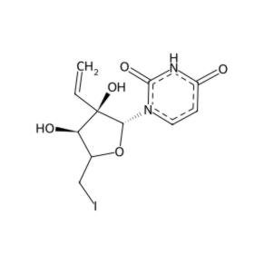 C=C[C@@]1(O)[C@H](O)C(CI)O[C@H]1n1ccc(=O)[nH]c1=O